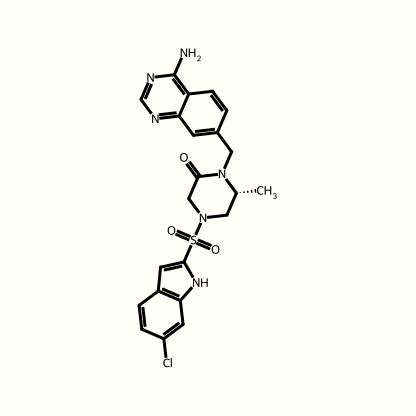 C[C@@H]1CN(S(=O)(=O)c2cc3ccc(Cl)cc3[nH]2)CC(=O)N1Cc1ccc2c(N)ncnc2c1